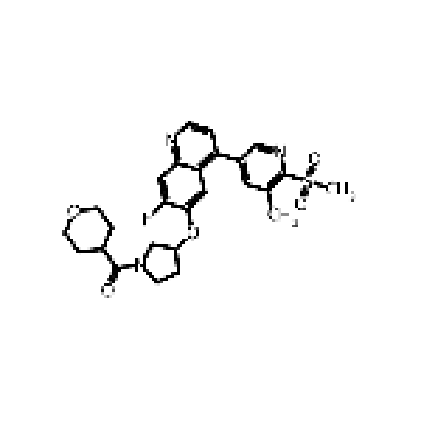 Cc1cc(-c2ccnc3cc(F)c(OC4CCN(C(=O)C5CCOCC5)C4)cc23)cnc1S(C)(=O)=O